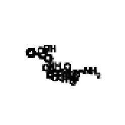 CS(=O)(=O)N[C@@H](CCCCN)C(=O)NCC(CC1(C(=O)NC2CCC(C(=O)O)C(CCc3ccccc3)C2)CCCC1)C(=O)O